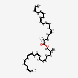 CC/C=C\C/C=C\C/C=C\C/C=C\C/C=C\CCC(CC)COC(=O)C(CC)CC/C=C\C/C=C\C/C=C\C/C=C\C/C=C\CC